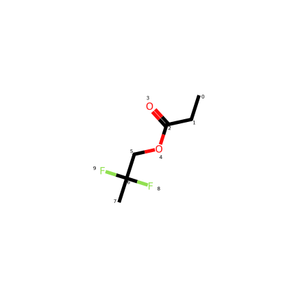 CCC(=O)OCC(C)(F)F